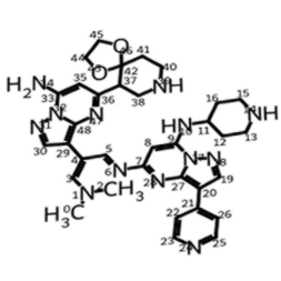 CN(C)/C=C(\C=N\c1cc(NC2CCNCC2)n2ncc(-c3ccncc3)c2n1)c1cnn2c(N)cc(C3CNCCC34OCCO4)nc12